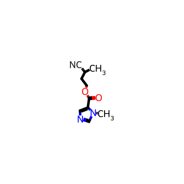 CC(C#N)CCOC(=O)c1cncn1C